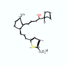 CCC1(C(O)CCCC2[C@@H](CCCc3ccc(C(=O)O)s3)CC[C@H]2C#N)CCC1